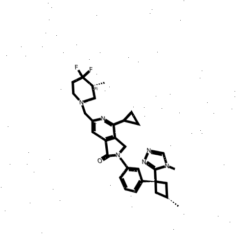 C[C@@H]1CN(Cc2cc3c(c(C4CC4)n2)CN(c2cccc([C@]4(c5nncn5C)C[C@@H](C)C4)c2)C3=O)CCC1(F)F